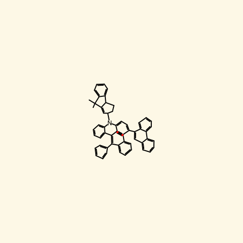 CC1(C)C2=CC(N(c3ccc(-c4cc5ccccc5c5ccccc45)cc3)c3ccccc3-c3ccc4ccccc4c3-c3ccccc3)CCC2c2ccccc21